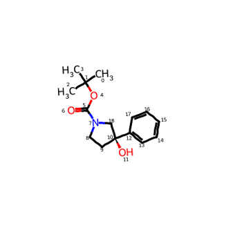 CC(C)(C)OC(=O)N1CC[C@@](O)(c2ccccc2)C1